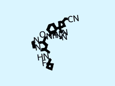 Cn1cnnc1C1(c2cccc(NC(=O)c3cc(CNCC4(F)CCC4)cn4ccnc34)c2)CC(CC#N)C1